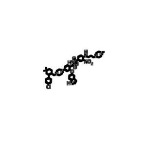 CN1CCN(CCCNc2ccc(S(=O)(=O)NC(=O)c3ccc(N4CCN(CC5=C(c6ccc(Cl)cc6)CC(C)(C)CC5)CC4)cc3Oc3ccc4[nH]ccc4c3)cc2[N+](=O)[O-])CC1